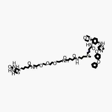 CN(C/C=C/C(=O)Nc1cc(Nc2cc(Oc3ccc(Oc4ccccc4)cc3)ncn2)ccc1N1CCOCC1)CCCCNC(=O)CCCC(=O)NCCCOCCOCCOCCCNC(=O)CCCC[C@@H]1SC[C@@H]2NC(=O)N[C@@H]21